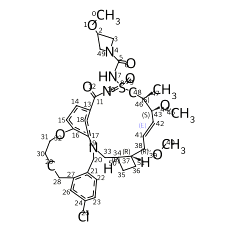 COC1CN(C(=O)NS2(=O)=NC(=O)c3ccc4c(c3)N(Cc3ccc(Cl)cc3CCCCO4)C[C@@H]3CC[C@H]3[C@@H](OC)/C=C/[C@H](OC)[C@H](C)C2)C1